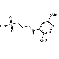 CSc1ncc(C=O)c(NCCCS(N)(=O)=O)n1